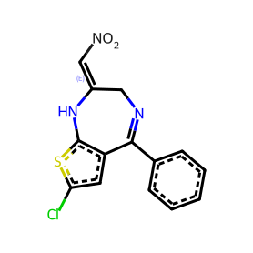 O=[N+]([O-])/C=C1\CN=C(c2ccccc2)c2cc(Cl)sc2N1